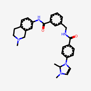 CC1N(C)C=CN1c1ccc(C(=O)NCc2cccc(C(=O)Nc3ccc4c(c3)CN(C)CC4)c2)cc1